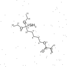 C=C(C)C(=O)OCCCCCC([SiH3])(OCC)OCC